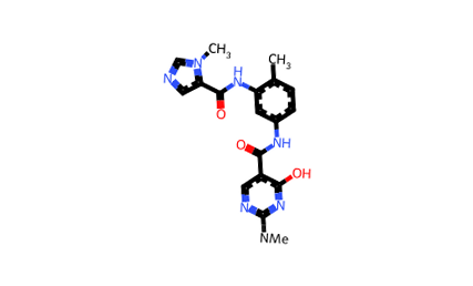 CNc1ncc(C(=O)Nc2ccc(C)c(NC(=O)c3cncn3C)c2)c(O)n1